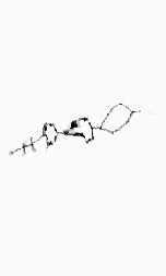 CCCCCCCC1CCC(c2ccc(-c3ccc(C(F)(F)C(C)(F)F)cc3)cc2)CC1